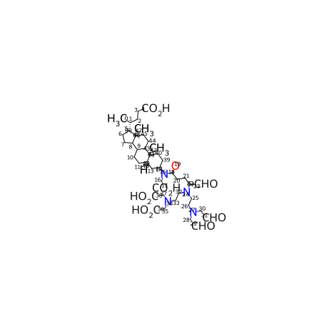 CC(CCC(=O)O)[C@H]1CCC2C3CC[C@@H]4C[C@@H](N(CC(=O)O)C(=O)CC[C@@H](C=O)N(CCN(CC=O)CC=O)CCN(CC(=O)O)CC(=O)O)CC[C@]4(C)C3CC[C@@]21C